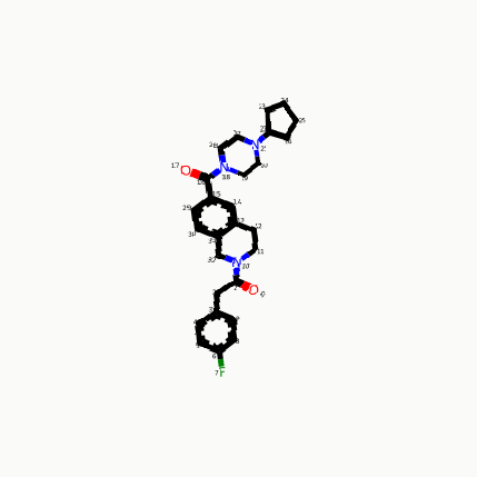 O=C(Cc1ccc(F)cc1)N1CCc2cc(C(=O)N3CCN(C4CCCC4)CC3)ccc2C1